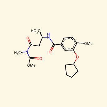 COC(=O)N(C)C(=O)C[C@H](NC(=O)c1ccc(OC)c(OC2CCCC2)c1)C(=O)O